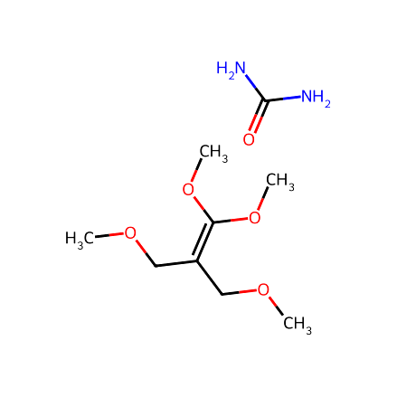 COCC(COC)=C(OC)OC.NC(N)=O